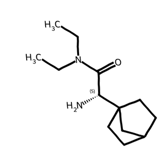 CCN(CC)C(=O)[C@@H](N)C12CCC(CC1)C2